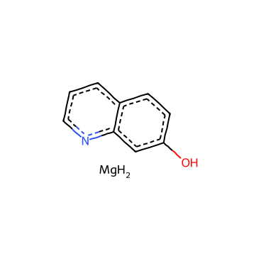 Oc1ccc2cccnc2c1.[MgH2]